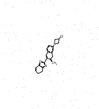 C=C1Cc2cc(N3CC(CC)C3)ccc2C=C1c1nc2c(o1)C=CCC2